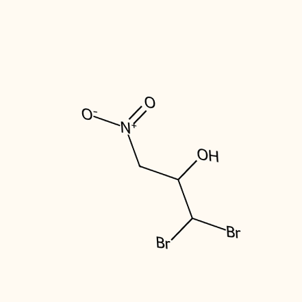 O=[N+]([O-])CC(O)C(Br)Br